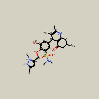 CCCC1CC(=O)C2=C(C1)NC(C)=C(C#N)C2c1cc(Br)c(OCc2cc(C)nn2C)c(S(=O)(=O)N(C)C)c1